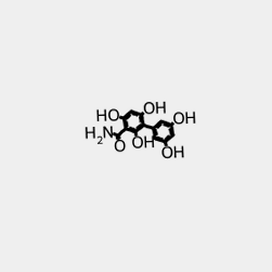 NC(=O)c1c(O)cc(O)c(-c2cc(O)cc(O)c2)c1O